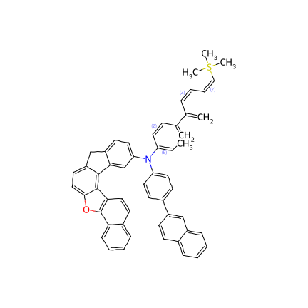 C=C(/C=C\C=C/S(C)(C)C)C(=C)/C=C\C(=C/C)N(c1ccc(-c2ccc3ccccc3c2)cc1)c1ccc2c(c1)-c1c(ccc3oc4c5ccccc5ccc4c13)C2